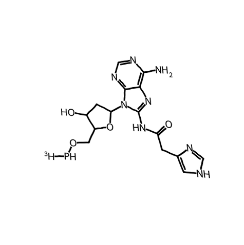 [3H]POCC1OC(n2c(NC(=O)Cc3c[nH]cn3)nc3c(N)ncnc32)CC1O